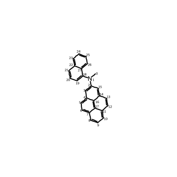 CN(c1cc2ccc3cccc4ccc(c1)c2c34)c1cccc2ccccc12